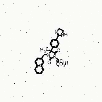 CC1(c2ccc(C3=NCCN3)cc2)C(=O)N(CC(=O)O)C(=O)N1Cc1ccc2ccccc2c1.Cl